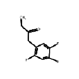 CCC(=O)Cc1cc(F)c(F)cc1F